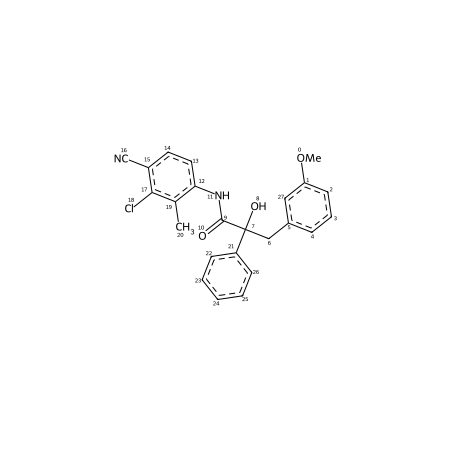 COc1cccc(CC(O)(C(=O)Nc2ccc(C#N)c(Cl)c2C)c2ccccc2)c1